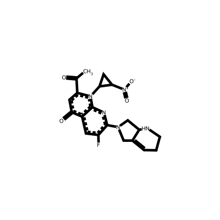 CC(=O)c1cc(=O)c2cc(F)c(N3CC4=CCCNC4C3)nc2n1C1CC1[N+](=O)[O-]